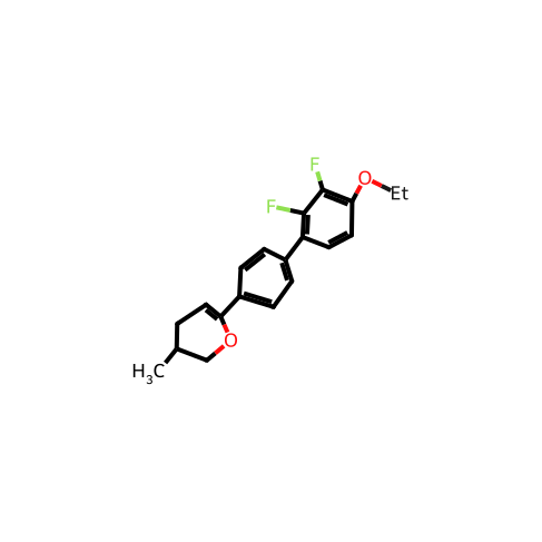 CCOc1ccc(-c2ccc(C3=CCC(C)CO3)cc2)c(F)c1F